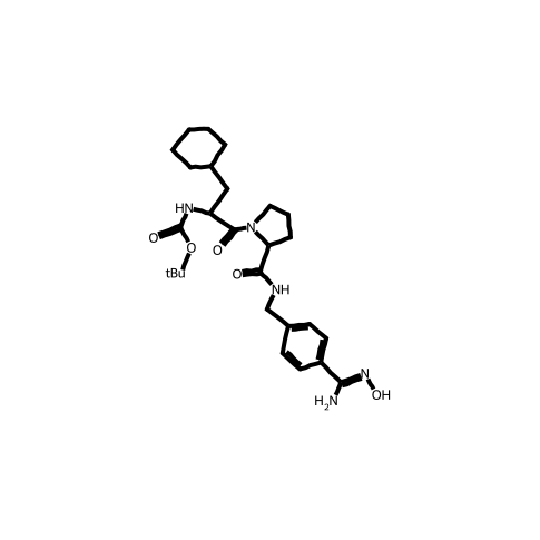 CC(C)(C)OC(=O)NC(CC1CCCCC1)C(=O)N1CCCC1C(=O)NCc1ccc(C(N)=NO)cc1